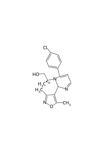 Cc1noc(C)c1C1N=CC=C(c2ccc(Cl)cc2)N1[C@@H](C)CO